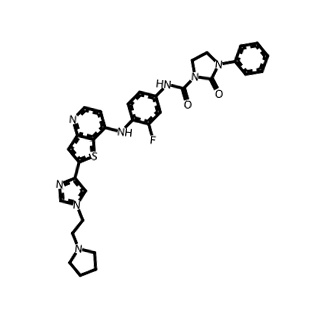 O=C(Nc1ccc(Nc2ccnc3cc(-c4cn(CCN5CCCC5)cn4)sc23)c(F)c1)N1CCN(c2ccccc2)C1=O